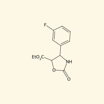 CCOC(=O)C1OC(=O)NC1c1cccc(F)c1